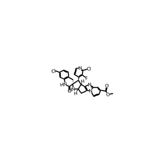 COC(=O)c1ccn2c3c(nc2c1)[C@@H]1[C@H](C3)N[C@]2(Cc3ccc(Cl)cc3NC2=O)[C@H]1c1ccnc(Cl)c1F